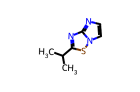 CC(C)c1nc2nccn2s1